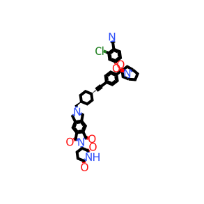 N#Cc1ccc(OC2CC3CCC(C2)N3C(=O)c2ccc(C#C[C@H]3CC[C@H](CN4Cc5cc6c(cc5C4)C(=O)N(C4CCC(=O)NC4=O)C6=O)CC3)cc2)cc1Cl